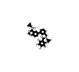 O=C(c1c(F)c(F)c(F)c(F)c1F)N(Cc1cccc(-c2ccc3ncnc(NC4CC4)c3c2)c1)C1CC1